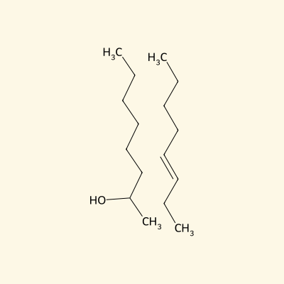 CCC=CCCCC.CCCCCCC(C)O